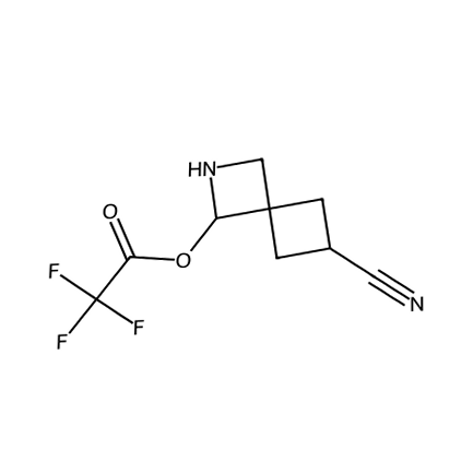 N#CC1CC2(CNC2OC(=O)C(F)(F)F)C1